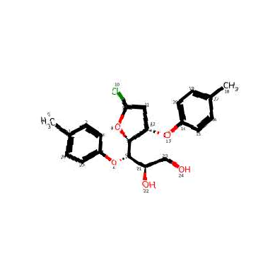 Cc1ccc(O[C@H]([C@H]2OC(Cl)C[C@@H]2Oc2ccc(C)cc2)[C@H](O)CO)cc1